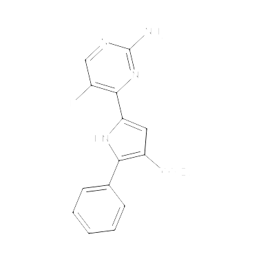 CCOC(=O)c1cc(-c2nc(N)ncc2F)[nH]c1-c1ccccc1